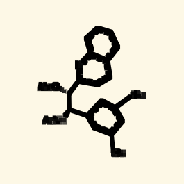 CO[C@H](c1ccc2ccccc2n1)[C@H](NC(C)=O)c1cc(C(C)(C)C)cc(C(C)(C)C)c1